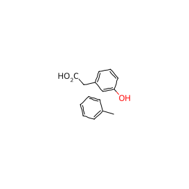 Cc1ccccc1.O=C(O)Cc1cccc(O)c1